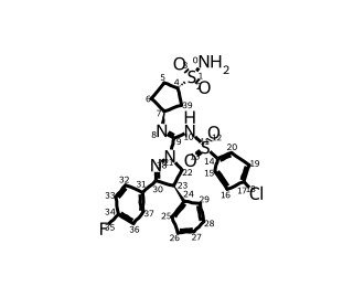 NS(=O)(=O)[C@H]1CC[C@H](/N=C(\NS(=O)(=O)c2ccc(Cl)cc2)N2C[C@@H](c3ccccc3)C(c3ccc(F)cc3)=N2)C1